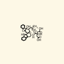 Cc1ccccc1C1(O)CCC2(CC1CN(C)C)OCCc1c2[nH]c2ccccc12.O=C(O)CC(O)(CC(=O)O)C(=O)O